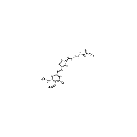 COc1cc(/C=C/c2ccn(CCCCCSC(C)=O)c2)cc(O)c1OC